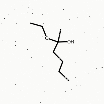 CCCCC(C)(O)OCC